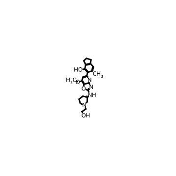 COc1cc(-c2c(C)cc3c(c2O)CCC3)nc2nc(N[C@@H]3CCCN(CCO)C3)oc12